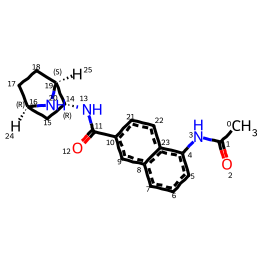 CC(=O)Nc1cccc2cc(C(=O)N[C@@H]3C[C@H]4CC[C@@H]3N4)ccc12